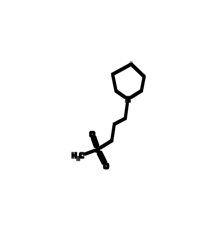 CS(=O)(=O)CCCN1CC[CH]CC1